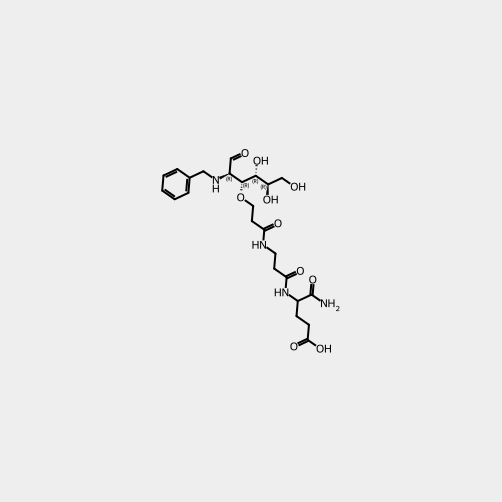 NC(=O)C(CCC(=O)O)NC(=O)CCNC(=O)CCO[C@@H]([C@H](O)[C@H](O)CO)[C@H](C=O)NCc1ccccc1